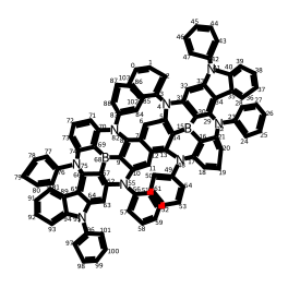 c1ccc(N2c3cc4c5c6c(cc4c4c3B3c7c(cccc7N(c7ccccc7)c7c3c2cc2c7c3ccccc3n2-c2ccccc2)N4c2ccccc2)N(c2ccccc2)c2cc3c(c4c2B6c2c(cccc2N4c2ccccc2)N5c2ccccc2)c2ccccc2n3-c2ccccc2)cc1